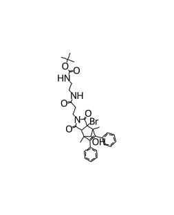 CC(C)(C)OC(=O)NCCNC(=O)CCN1C(=O)C2C3(C)C(c4ccccc4)=C(c4ccccc4)C(C)(C3O)C2(Br)C1=O